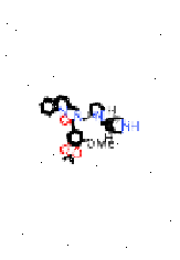 COc1cc(C(=O)N(Cc2ccc3ccccc3n2)C[C@@H]2CCCN2CC2[C@@H]3CC[C@H]2CNC3)cc2c1OC(C)(C)O2